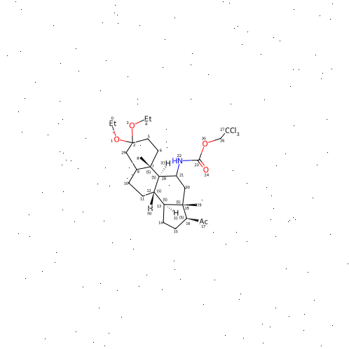 CCOC1(OCC)CC[C@@]2(C)C(CC[C@H]3[C@@H]4CC[C@H](C(C)=O)[C@@]4(C)CC(NC(=O)OCC(Cl)(Cl)Cl)[C@@H]32)C1